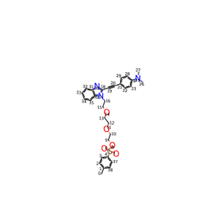 Cc1ccc(S(=O)(=O)OCCOCCOCCn2c(C#Cc3ccc(N(C)C)cc3)nc3ccccc32)cc1